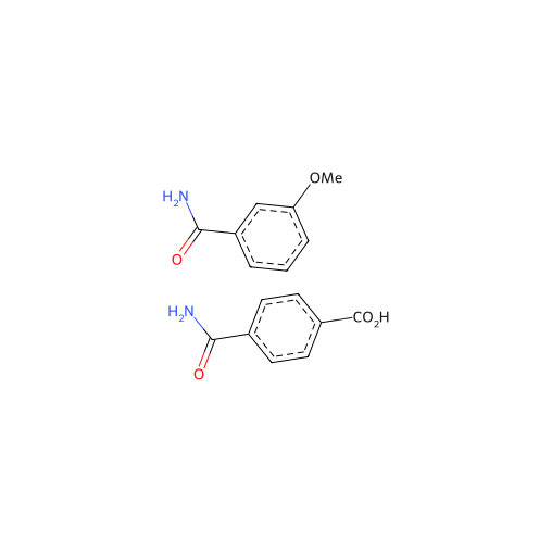 COc1cccc(C(N)=O)c1.NC(=O)c1ccc(C(=O)O)cc1